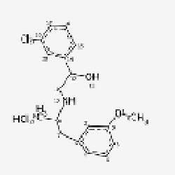 COc1cccc(CC(C)NCC(O)c2cccc(Cl)c2)c1.Cl